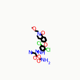 COCCN1CCc2cc(Oc3c(Cl)cc(NN=C(C#N)C(=O)OC(N)=O)cc3Cl)ccc2C1=O